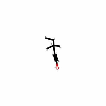 CCC(C)(C)C#C[O]